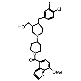 COc1ccc(C(=O)N2CCC(N3CC[C@H](Cc4ccc(Cl)c(Cl)c4)[C@H](CO)C3)CC2)c2cccnc12